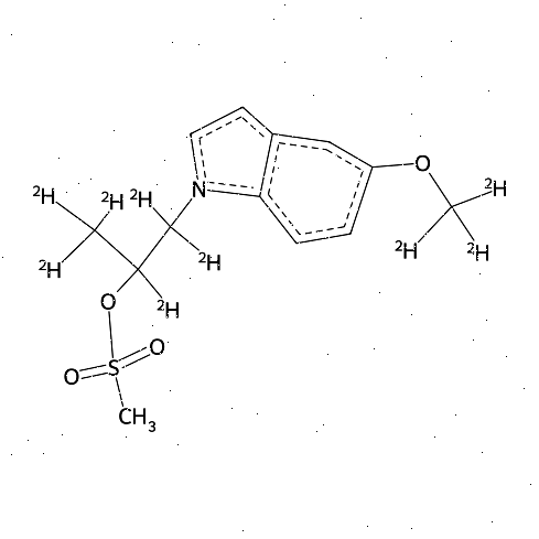 [2H]C([2H])([2H])Oc1ccc2c(ccn2C([2H])([2H])C([2H])(OS(C)(=O)=O)C([2H])([2H])[2H])c1